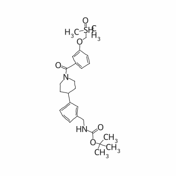 CC(C)(C)OC(=O)NCc1cccc(C2CCN(C(=O)c3cccc(OC[SH](C)(C)=O)c3)CC2)c1